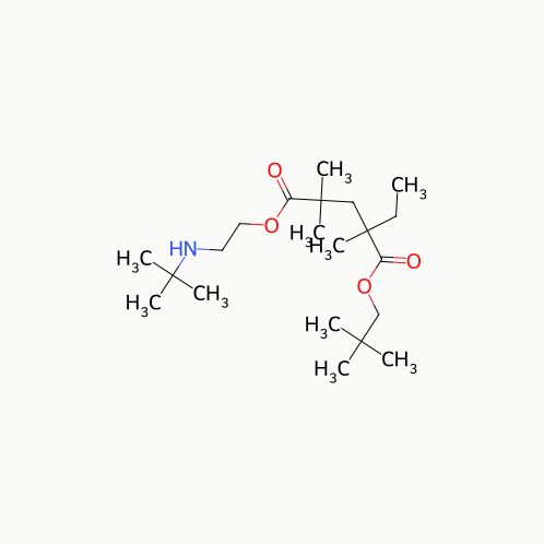 CCC(C)(CC(C)(C)C(=O)OCCNC(C)(C)C)C(=O)OCC(C)(C)C